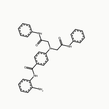 Nc1ccccc1NC(=O)c1ccc(N(CC(=O)Nc2ccccc2)CC(=O)Nc2ccccc2)cc1